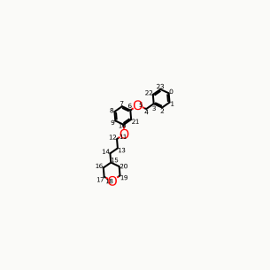 c1ccc(COc2cccc(OCCCC3CCOCC3)c2)cc1